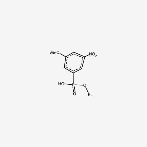 CCOP(=O)(O)c1cc(OC)cc([N+](=O)[O-])c1